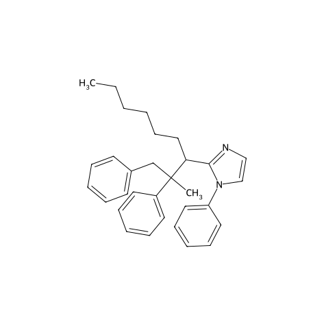 CCCCCCC(c1nccn1-c1ccccc1)C(C)(Cc1ccccc1)c1ccccc1